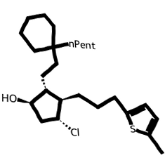 CCCCCC1(CC[C@@H]2[C@@H](CCCc3ccc(C)s3)[C@H](Cl)C[C@H]2O)CCCCC1